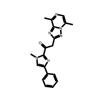 Cc1ncc(C)n2nc(CC(=O)c3nc(-c4ccccc4)cn3C)nc12